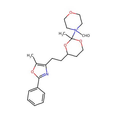 Cc1oc(-c2ccccc2)nc1CCC1CCOC(C)([N+]2(C=O)CCOCC2)O1